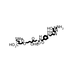 CSSC[C@H](CC(=O)OCCCCC(=O)CC[C@H](NC(=O)c1ccc(NCc2cnc3nc(N)nc(O)c3n2)cc1)OC=O)C(=O)O